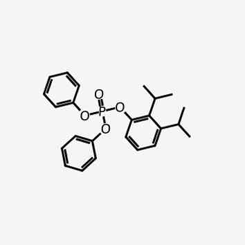 CC(C)c1cccc(OP(=O)(Oc2ccccc2)Oc2ccccc2)c1C(C)C